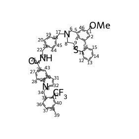 COc1cccc(CN(CCSc2ccccc2)Cc2ccc(CNC(=O)c3ccc4c(ccn4Cc4ccc(C)cc4C(F)(F)F)c3)cc2)c1